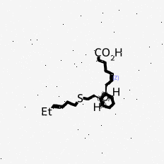 CCC=CCCSCC[C@H]1[C@@H](C/C=C\CCCC(=O)O)[C@H]2CC[C@@H]1O2